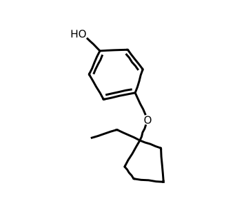 CCC1(Oc2ccc(O)cc2)CCCC1